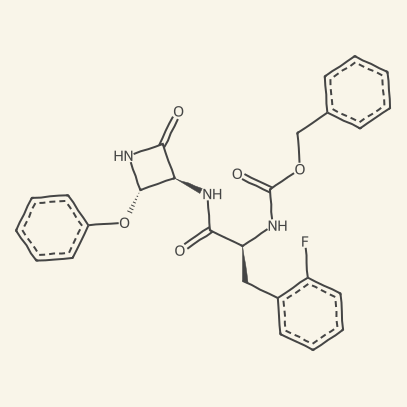 O=C(N[C@@H](Cc1ccccc1F)C(=O)N[C@@H]1C(=O)N[C@H]1Oc1ccccc1)OCc1ccccc1